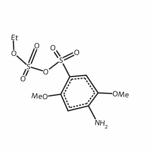 CCOS(=O)(=O)OS(=O)(=O)c1cc(OC)c(N)cc1OC